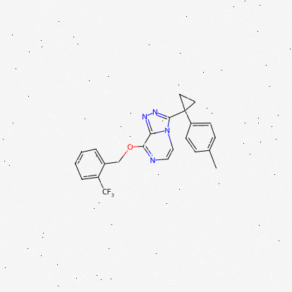 Cc1ccc(C2(c3nnc4c(OCc5ccccc5C(F)(F)F)nccn34)CC2)cc1